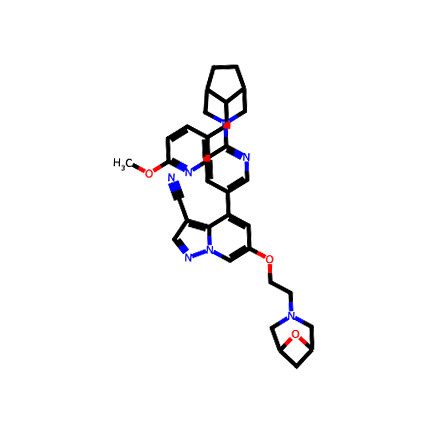 COc1ccc(CC2C3CCC2CN(c2ccc(-c4cc(OCCN5CC6CC(C5)O6)cn5ncc(C#N)c45)cn2)C3)cn1